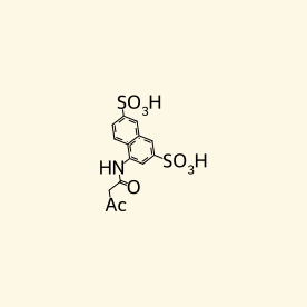 CC(=O)CC(=O)Nc1cc(S(=O)(=O)O)cc2cc(S(=O)(=O)O)ccc12